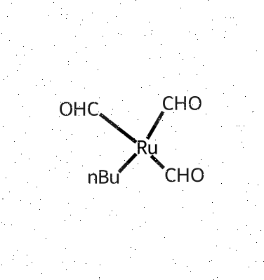 CCC[CH2][Ru]([CH]=O)([CH]=O)[CH]=O